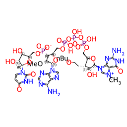 CCCCOCC[C@H]1[C@@H](O)[C@H](n2c[n+](C)c3c(=O)[nH]c(N)nc32)O[C@@H]1COP(=O)(O)OP(=O)(O)OP(=O)(O)OC[C@H]1O[C@@H](n2cnc3c(N)ncnc32)[C@H](OC)[C@@H]1P(=O)([O-])OC[C@H]1O[C@@H](n2ccc(=O)[nH]c2=O)[C@H](O)[C@@H]1O